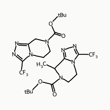 CC(C)(C)OC(=O)N1CCn2c(nnc2C(F)(F)F)C1.CC1c2nnc(C(F)(F)F)n2CCN1C(=O)OC(C)(C)C